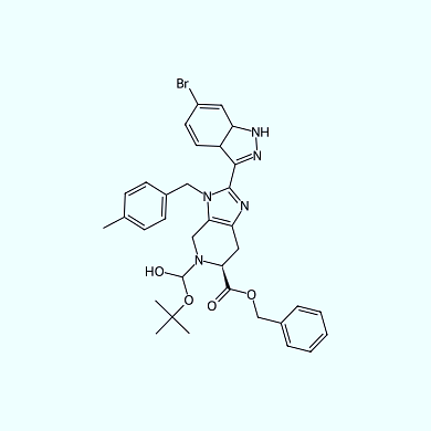 Cc1ccc(Cn2c(C3=NNC4C=C(Br)C=CC34)nc3c2CN(C(O)OC(C)(C)C)[C@H](C(=O)OCc2ccccc2)C3)cc1